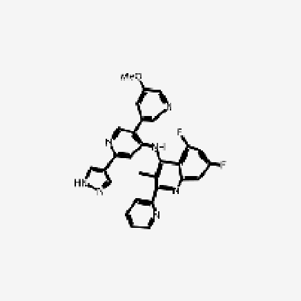 COc1cncc(-c2cnc(-c3cn[nH]c3)cc2Nc2c(C)c(-c3ccccn3)nc3cc(F)cc(F)c23)c1